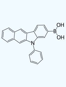 OB(O)c1ccc2c3cc4ccccc4cc3n(-c3ccccc3)c2c1